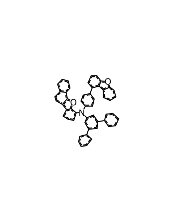 c1ccc(-c2cc(-c3ccccc3)cc(N(c3ccc(-c4cccc5oc6ccccc6c45)cc3)c3cccc4c3oc3c5ccccc5ccc43)c2)cc1